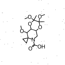 COC1C2OC(C)(OC)C(C)(OC)OC2CN(C(=O)O)C12CC2